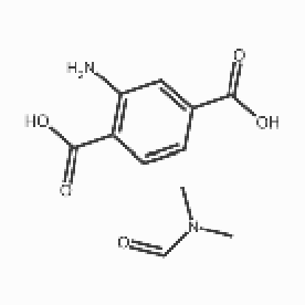 CN(C)C=O.Nc1cc(C(=O)O)ccc1C(=O)O